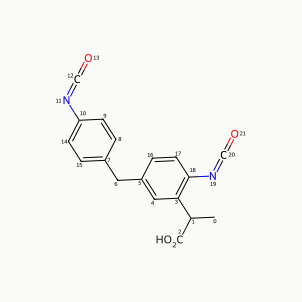 CC(C(=O)O)c1cc(Cc2ccc(N=C=O)cc2)ccc1N=C=O